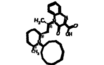 C[C@H]1CCC[C@@H](C[C@H](C)n2c(=O)c(C(=O)O)nc3ccccc32)N1C1CCCCCCCCC1